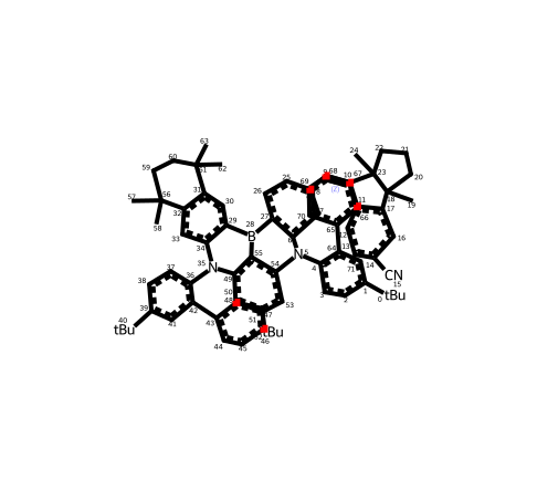 CC(C)(C)c1ccc(N2c3cc(/C=C4\c5ccc(C#N)cc5C5(C)CCCC45C)ccc3B3c4cc5c(cc4N(c4ccc(C(C)(C)C)cc4-c4ccccc4)c4cc(C(C)(C)C)cc2c43)C(C)(C)CCC5(C)C)c(-c2ccccc2)c1